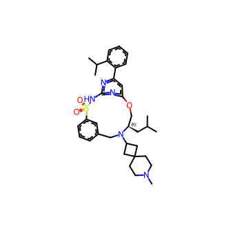 CC(C)C[C@@H]1COc2cc(-c3ccccc3C(C)C)nc(n2)NS(=O)(=O)c2cccc(c2)CN1C1CC2(CCN(C)CC2)C1